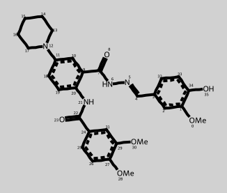 COc1cc(/C=N/NC(=O)c2cc(N3CCCCC3)ccc2NC(=O)c2ccc(OC)c(OC)c2)ccc1O